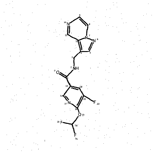 O=C(NCc1cnn2ccncc12)c1cnc(OC(F)F)c(F)c1